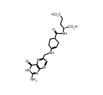 Nc1nc2ncc(CNC3=CCC(C(=O)N[C@@H](CCC(=O)O)C(=O)O)CC3)nc2c(=O)[nH]1